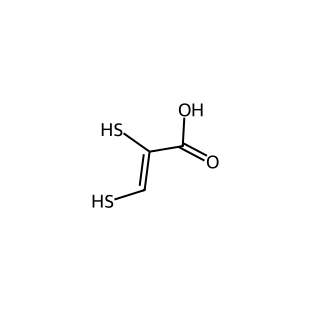 O=C(O)C(S)=CS